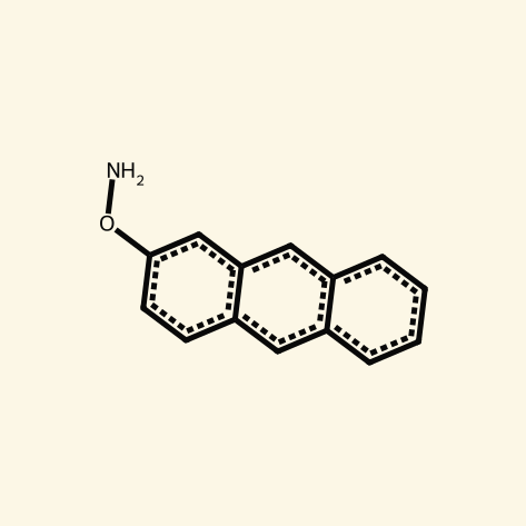 NOc1ccc2cc3ccccc3cc2c1